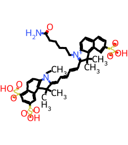 CCN1\C(=C/C=C/C=C/C2=[N+](CCCCCC(N)=O)c3ccc4ccc(S(=O)(=O)O)cc4c3C2(C)C)C(C)(C)c2c1ccc1c(S(=O)(=O)O)cc(S(=O)(=O)O)cc21